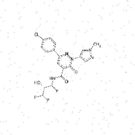 Cn1cc(-n2nc(-c3ccc(Cl)cc3)cc(C(=O)NC(F)[C@@H](O)C(F)F)c2=O)cn1